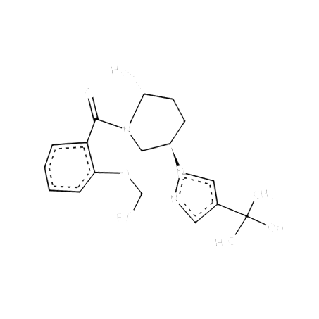 C[C@@H]1CC[C@@H](n2cc(C(C)(C)O)cn2)CN1C(=O)c1ccccc1OCC(F)(F)F